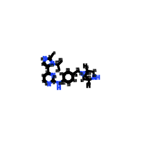 Cc1ncc(-c2ccnc(Nc3ccc(CN4C[C@@H]5C[C@H]4CN5)cc3)n2)n1C(C)C